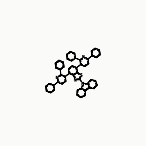 c1ccc(-c2ccc(-c3ccc(-c4ccc(-c5ccccc5)nc4-c4ccccc4)c4sc(-n5c6ccccc6c6ccccc65)nc34)c(-c3ccccc3)n2)cc1